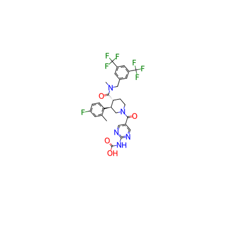 Cc1cc(F)ccc1[C@@H]1CN(C(=O)c2cnc(NC(=O)O)nc2)CC[C@H]1C(=O)N(C)Cc1cc(C(F)(F)F)cc(C(F)(F)F)c1